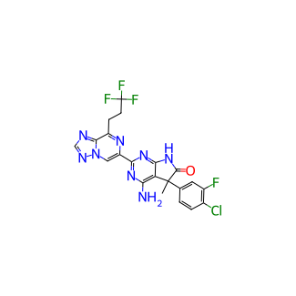 CC1(c2ccc(Cl)c(F)c2)C(=O)Nc2nc(-c3cn4ncnc4c(CCC(F)(F)F)n3)nc(N)c21